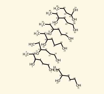 CCC(O)CCCO.CCC(O)CCCO.CCC(O)CCCO.CCC(O)CCCO.CCC(O)CCCO.CCC(O)CCCO.CCCC(O)O